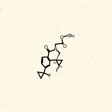 CC(C)(C)OC(=O)CN1C[C@]2(C[C@H]2F)c2cc(C3(F)CC3)ccc2C1=O